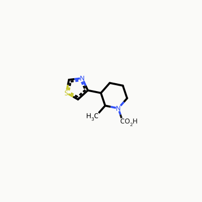 CC1C(c2cscn2)CCCN1C(=O)O